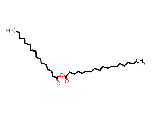 CCCCCCC=CCCCCCCCC(=O)OC(=O)CCCCCCCC=CCCCCCCCC